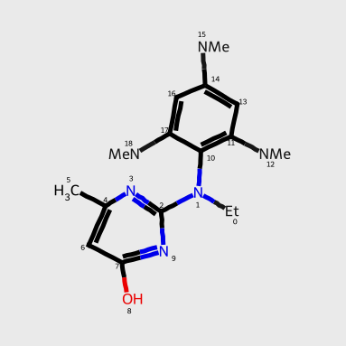 CCN(c1nc(C)cc(O)n1)c1c(NC)cc(NC)cc1NC